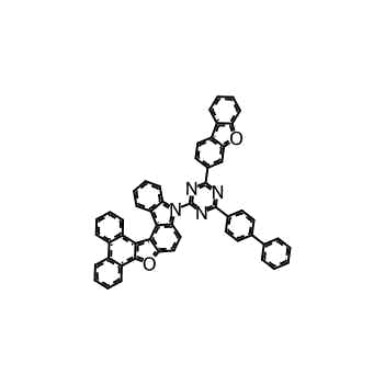 c1ccc(-c2ccc(-c3nc(-c4ccc5c(c4)oc4ccccc45)nc(-n4c5ccccc5c5c6c(ccc54)oc4c5ccccc5c5ccccc5c46)n3)cc2)cc1